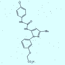 CC(C)(C)c1cc(NC(=O)Nc2ccc(Cl)cc2)n(-c2cccc(OCC(=O)O)c2)n1